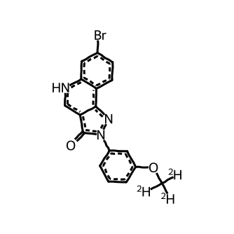 [2H]C([2H])([2H])Oc1cccc(-n2nc3c4ccc(Br)cc4[nH]cc-3c2=O)c1